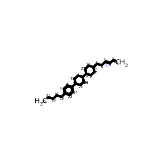 C=C/C=C/CCC1CCC(C2CCC(c3ccc(CCCCC)cc3)CC2)CC1